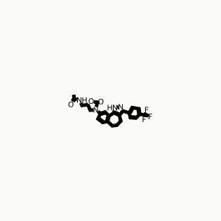 CC(=O)NCC1CN(c2ccc3c(c2)-c2[nH]nc(-c4ccc(C(F)(F)F)cc4)c2CCC3)C(=O)O1